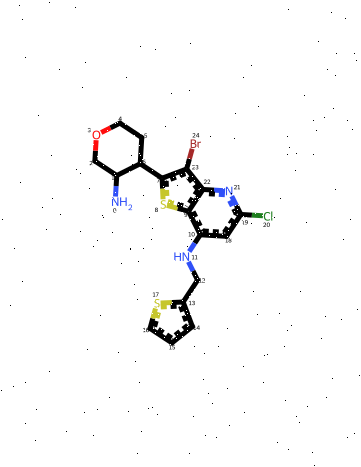 NC1COCCC1c1sc2c(NCc3cccs3)cc(Cl)nc2c1Br